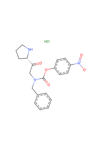 Cl.O=C(CN(Cc1ccccc1)C(=O)Oc1ccc([N+](=O)[O-])cc1)[C@@H]1CCCN1